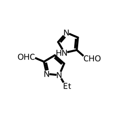 CCn1ccc(C=O)n1.O=Cc1cnc[nH]1